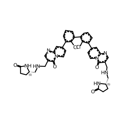 O=C1CC[C@@H](CNCc2cnc3cc(-c4cccc(-c5cccc(-c6ccn7c(=O)c(CNC[C@@H]8CCC(=O)N8)cnc7c6)c5Cl)c4Cl)ccn3c2=O)N1